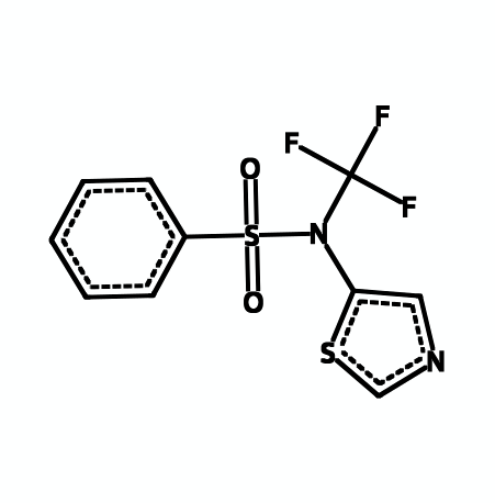 O=S(=O)(c1ccccc1)N(c1cncs1)C(F)(F)F